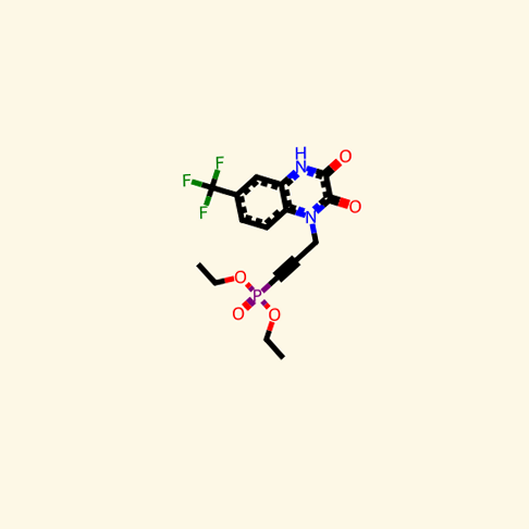 CCOP(=O)(C#CCn1c(=O)c(=O)[nH]c2cc(C(F)(F)F)ccc21)OCC